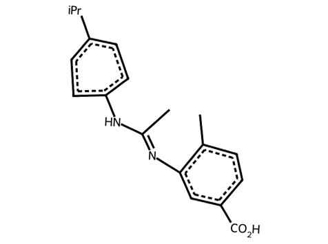 C/C(=N\c1cc(C(=O)O)ccc1C)Nc1ccc(C(C)C)cc1